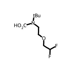 CC(C)(C)N(CCOCC(F)F)C(=O)O